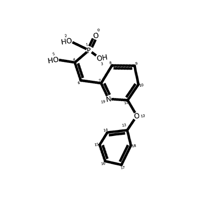 O=P(O)(O)C(O)=Cc1cccc(Oc2ccccc2)n1